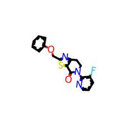 O=C1c2sc(COc3ccccc3)nc2CCN1c1ncccc1F